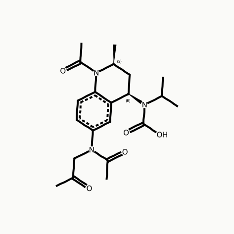 CC(=O)CN(C(C)=O)c1ccc2c(c1)[C@H](N(C(=O)O)C(C)C)C[C@H](C)N2C(C)=O